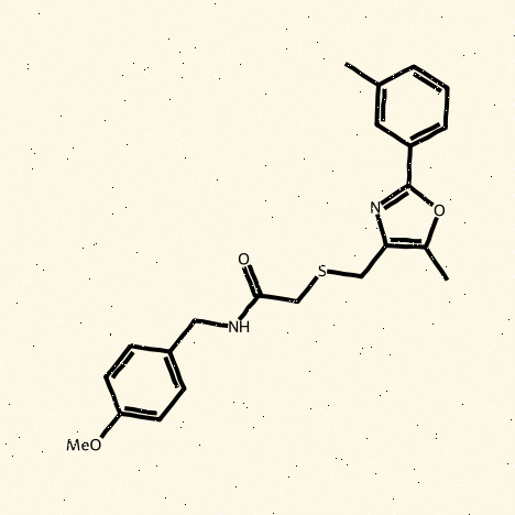 COc1ccc(CNC(=O)CSCc2nc(-c3cccc(C)c3)oc2C)cc1